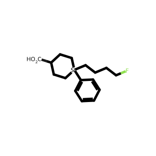 O=C(O)C1CC[Si](CCCCF)(c2ccccc2)CC1